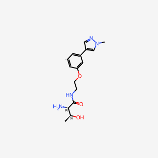 C[C@H](O)[C@@H](N)C(=O)NCCOc1c[c]cc(-c2cnn(C)c2)c1